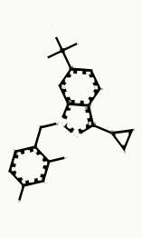 FC(F)(F)c1ccc2c(C3CC3)nn(Cc3ccc(Cl)cc3Cl)c2c1